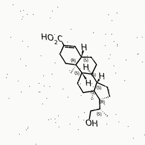 C[C@H](CO)[C@H]1CC[C@H]2[C@@H]3CC[C@H]4C=C(C(=O)O)CC[C@]4(C)[C@H]3CC[C@]12C